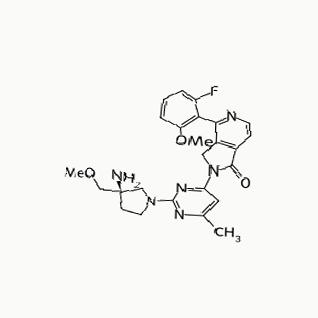 COC[C@@]1(N)CCN(c2nc(C)cc(N3Cc4c(ccnc4-c4c(F)cccc4OC)C3=O)n2)C1